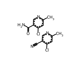 Cc1cc(Cl)c(C#N)cn1.Cc1cc(Cl)c(C(N)=O)cn1